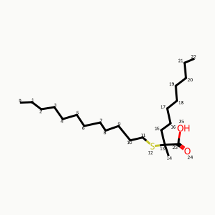 CCCCCCCCCCCCSC(C)(CCCCCCCC)C(=O)O